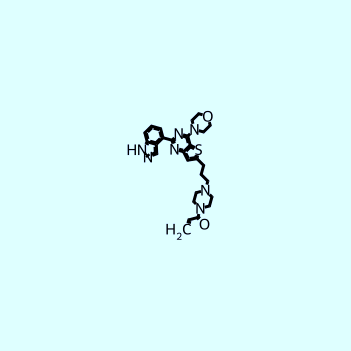 C=CC(=O)N1CCN(CCCc2cc3nc(-c4cccc5[nH]ncc45)nc(N4CCOCC4)c3s2)CC1